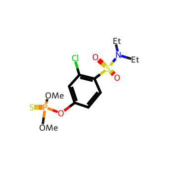 CCN(CC)S(=O)(=O)c1ccc(OP(=S)(OC)OC)cc1Cl